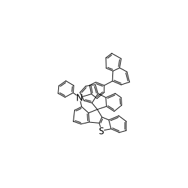 c1ccc(N(c2ccc(-c3cccc4ccccc34)cc2)c2cccc3c2C2(c4ccccc4-c4ccccc42)c2c-3sc3ccccc23)cc1